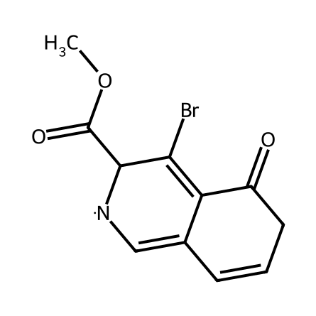 COC(=O)C1[N]C=C2C=CCC(=O)C2=C1Br